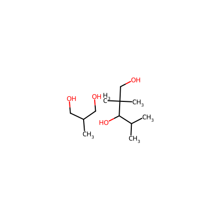 CC(C)C(O)C(C)(C)CO.CC(CO)CO